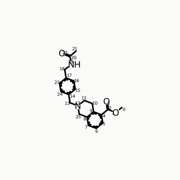 COC(=O)c1cccc2c1CCN(Cc1ccc(CNC(C)=O)cc1)C2